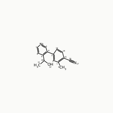 Cc1cc(-c2cnccc2C(C)O)ccc1C#N